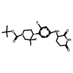 CC(C)(C)OC(=O)N1CC[C@@H](c2ccc(NC3CCC(=O)NC3=O)cc2F)C(F)(F)C1